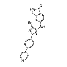 CCn1nc(-c2ccc(-c3ccncc3)cc2)nc1Nc1ccc2c(c1)CNC2=O